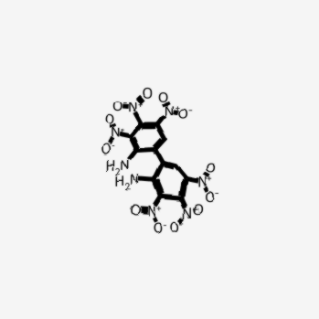 Nc1c(-c2cc([N+](=O)[O-])c([N+](=O)[O-])c([N+](=O)[O-])c2N)cc([N+](=O)[O-])c([N+](=O)[O-])c1[N+](=O)[O-]